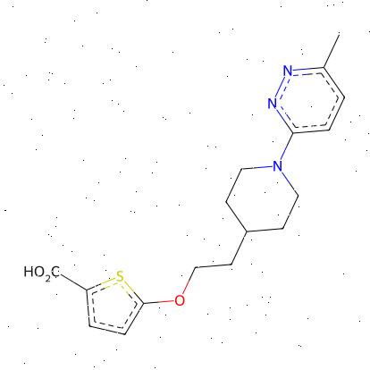 Cc1ccc(N2CCC(CCOc3ccc(C(=O)O)s3)CC2)nn1